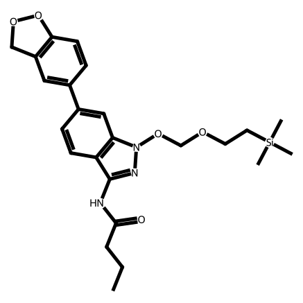 CCCC(=O)Nc1nn(OCOCC[Si](C)(C)C)c2cc(-c3ccc4c(c3)COO4)ccc12